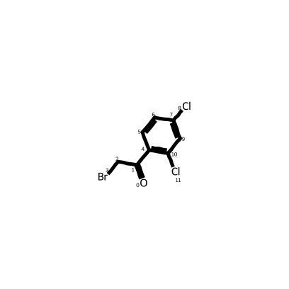 O=C(CBr)c1ccc(Cl)[c]c1Cl